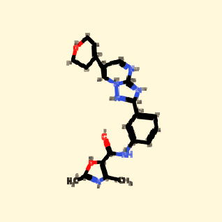 Cc1nc(C)c(C(=O)Nc2cccc(-c3nc4ncc(C5=CCOCC5)cn4n3)c2)o1